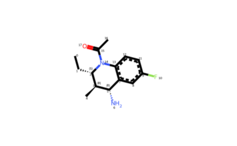 CC[C@H]1[C@H](C)[C@@H](N)c2cc(F)ccc2N1C(C)=O